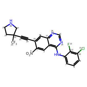 O=[N+]([O-])c1cc2c(Nc3cccc(Cl)c3F)ncnc2cc1C#CC1(C(F)(F)F)CCNC1